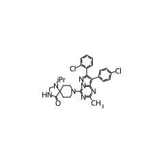 Cc1nc(N2CCC3(CC2)C(=O)NCN3C(C)C)n2nc(-c3ccccc3Cl)c(-c3ccc(Cl)cc3)c2n1